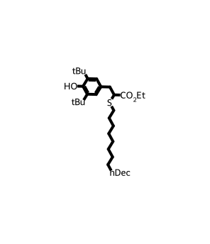 CCCCCCCCCCCCCCCCCCSC(Cc1cc(C(C)(C)C)c(O)c(C(C)(C)C)c1)C(=O)OCC